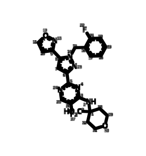 O=C(O)C1(Nc2nc(-c3cc(-c4ccon4)n(Cc4ccccc4F)n3)ncc2F)CCOCC1